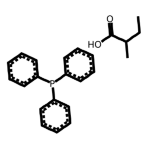 CCC(C)C(=O)O.c1ccc(P(c2ccccc2)c2ccccc2)cc1